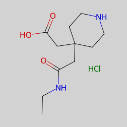 CCNC(=O)CC1(CC(=O)O)CCNCC1.Cl